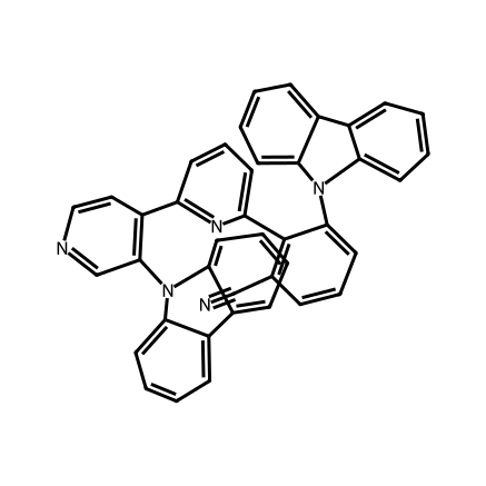 N#Cc1cccc(-n2c3ccccc3c3ccccc32)c1-c1cccc(-c2ccncc2-n2c3ccccc3c3ccccc32)n1